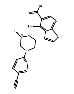 N#Cc1ccc(N2CC[C@@H](Nc3c(C(N)=O)cnc4[nH]ccc34)[C@H](F)C2)nc1